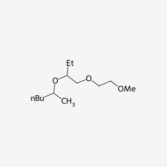 CCCCC(C)OC(CC)COCCOC